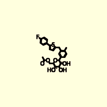 CC(=O)OCC1OC(c2ccc(C)c(Cc3ccc(-c4ccc(F)cc4)s3)c2)[C@H](O)C(O)[C@@H]1O